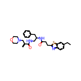 C=C(CN1CCOCC1)C(=O)NCC(Cc1ccccc1)NC(=O)CCc1nc2ccc(CC)cc2s1